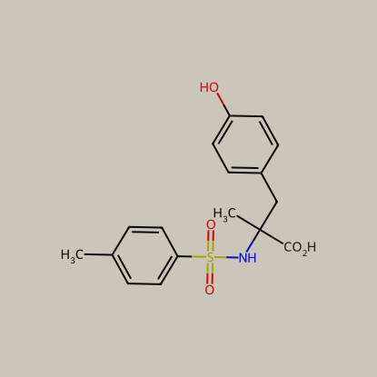 Cc1ccc(S(=O)(=O)NC(C)(Cc2ccc(O)cc2)C(=O)O)cc1